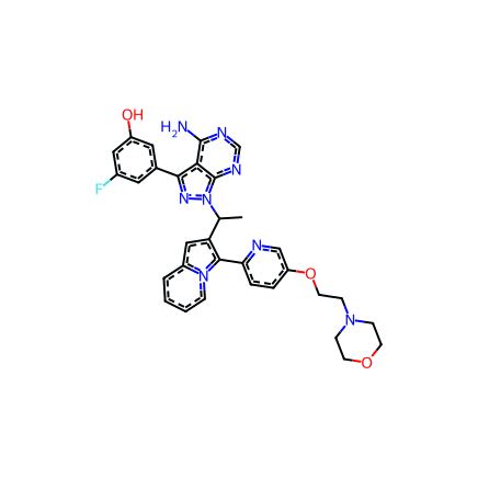 CC(c1cc2ccccn2c1-c1ccc(OCCN2CCOCC2)cn1)n1nc(-c2cc(O)cc(F)c2)c2c(N)ncnc21